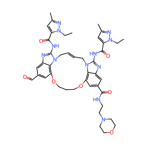 CCn1nc(C)cc1C(=O)Nc1nc2cc(C=O)cc3c2n1C/C=C/Cn1c(NC(=O)c2cc(C)nn2CC)nc2cc(C(=O)NCCN4CCOCC4)cc(c21)OCCCO3